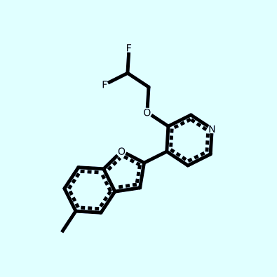 Cc1ccc2oc(-c3ccncc3OCC(F)F)cc2c1